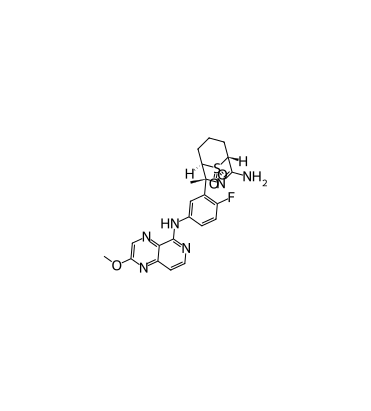 COc1cnc2c(Nc3ccc(F)c([C@@]4(C)N=C(N)[C@H]5CCC[C@H]4S5(=O)=O)c3)nccc2n1